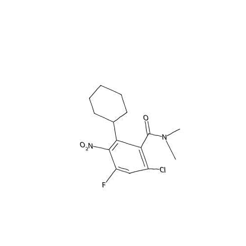 CN(C)C(=O)c1c(Cl)cc(F)c([N+](=O)[O-])c1C1CCCCC1